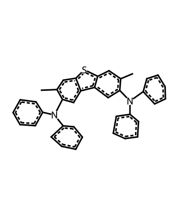 Cc1cc2sc3cc(C)c(N(c4ccccc4)c4ccccc4)cc3c2cc1N(c1ccccc1)c1ccccc1